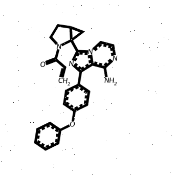 C=CC(=O)N1CCC2CC21c1nc(-c2ccc(Oc3ccccc3)cc2)c2c(N)nccn12